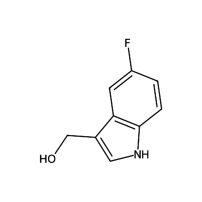 OCc1c[nH]c2ccc(F)cc12